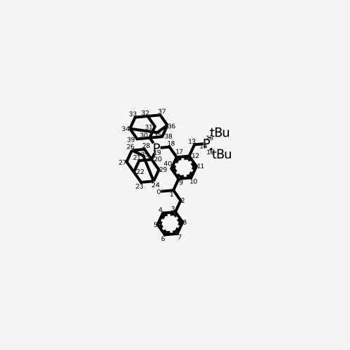 CC(Cc1ccccc1)c1ccc(CP(C(C)(C)C)C(C)(C)C)c(CP(C23CC4CC(CC(C4)C2)C3)C23CC4CC(CC(C4)C2)C3)c1